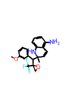 COc1cccc(C(C2(C)C=Cc3c(N)cccc3N2)C2(C(F)(F)F)CO2)c1